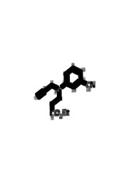 C#CCN(CCC(=O)OCC)c1cccc(C#N)c1